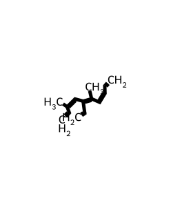 C=C\C=C/C(C)=C(C=C)/C=C(/C)C=C